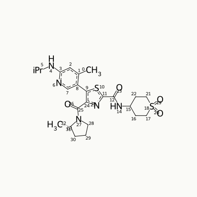 Cc1cc(NC(C)C)ncc1-c1sc(C(=O)NC2CCS(=O)(=O)CC2)nc1C(=O)N1CCC[C@@H]1C